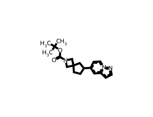 CC(C)(C)OC(=O)N1CC2(CCC(c3ccn4nccc4c3)C2)C1